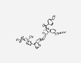 CCS(=O)(=O)N1CC(CC#N)(n2cc(-c3ncnc4c3ccn4OC(=O)Cc3c(C)n(C(=O)c4ccc(Cl)cc4)c4ccc(OC)cc34)cn2)C1